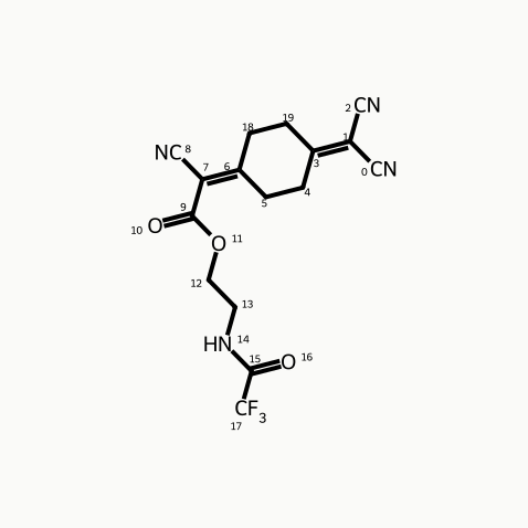 N#CC(C#N)=C1CCC(=C(C#N)C(=O)OCCNC(=O)C(F)(F)F)CC1